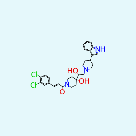 O=C(/C=C/c1ccc(Cl)c(Cl)c1)N1CCC(O)(C(O)CN2CCC(c3c[nH]c4ccccc34)CC2)CC1